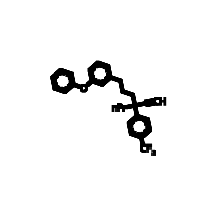 C#CC(CCC)(CCCc1cccc(Oc2ccccc2)c1)c1ccc(C(F)(F)F)cc1